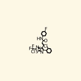 O=C(/C=C/c1c(-c2ccccc2Cl)nc2sc(C(F)(F)Cl)nn12)Nc1ccc(F)cc1